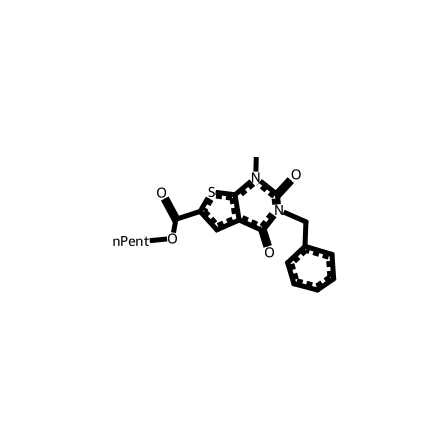 CCCCCOC(=O)c1cc2c(=O)n(Cc3ccccc3)c(=O)n(C)c2s1